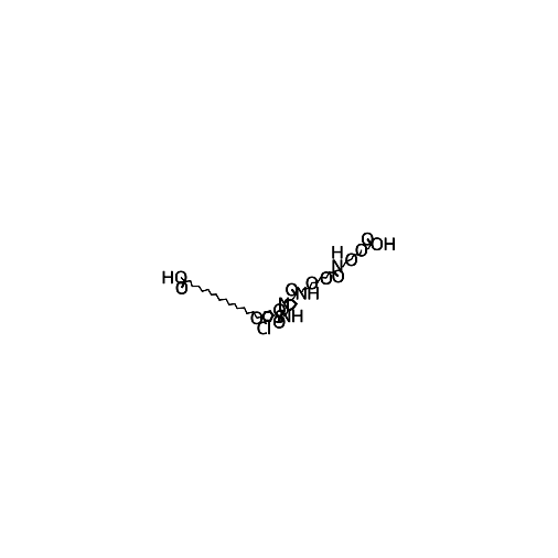 O=C(O)CCCCCCCCCCCCCCCOc1ccc(S(=O)(=O)Nc2ccc(C(=O)NCCOCCOCC(=O)NCCOCCOCC(=O)O)cn2)cc1Cl